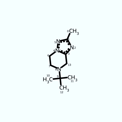 Cc1nc2n(n1)CCN(C(C)(C)C)C2